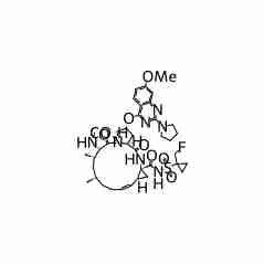 COc1ccc2c(O[C@@H]3C[C@H]4C(=O)N[C@]5(C(=O)NS(=O)(=O)C6(CF)CC6)C[C@H]5/C=C\CC[C@@H](C)C[C@@H](C)[C@H](NC(=O)O)C(=O)N4C3)nc(N3CCCC3)nc2c1